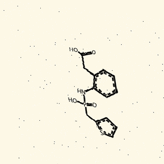 O=C(O)Cc1ccccc1NP(=O)(O)Cc1cccs1